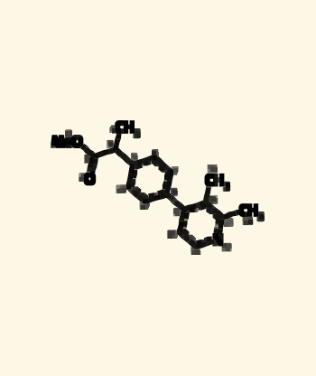 COC(=O)C(C)c1ccc(-c2ccnc(C)c2C)cc1